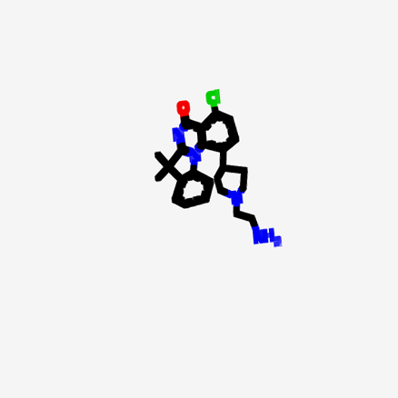 CC1(C)c2ccccc2-n2c1nc(=O)c1c(Cl)ccc(C3CCN(CCN)CC3)c12